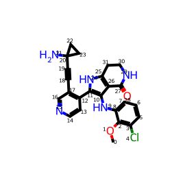 COc1c(Cl)cccc1Nc1c(-c2ccncc2C#CC2(N)CC2)[nH]c2c1C(=O)NCC2